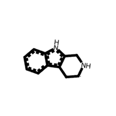 [CH]1Cc2c([nH]c3ccccc23)CN1